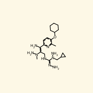 Cc1nc(/C(N)=C(\CN/C(=N/N)N(N)CC2CC2)N(C)N)ccc1OC1CCCCC1